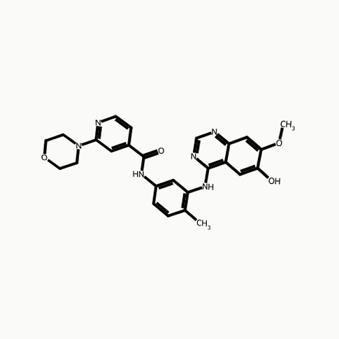 COc1cc2ncnc(Nc3cc(NC(=O)c4ccnc(N5CCOCC5)c4)ccc3C)c2cc1O